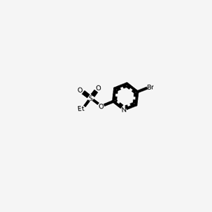 CCS(=O)(=O)Oc1ccc(Br)cn1